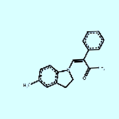 Cc1ccc2c(c1)CCN2/C=C(\C(=O)C(F)(F)F)c1ccccc1